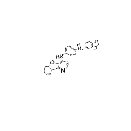 C1=CC2Oc3c(Nc4ccc(NCc5ccc6c(c5)OCO6)cc4)ncnc3C2C=C1